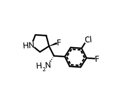 N[C@@H](c1ccc(F)c(Cl)c1)[C@@]1(F)CCNC1